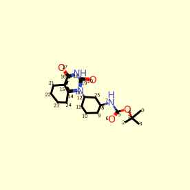 CC(C)(C)OC(=O)NC1CCCC(n2c3c(c(=O)[nH]c2=O)CCCC3)C1